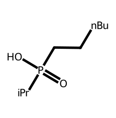 CCCCCCP(=O)(O)C(C)C